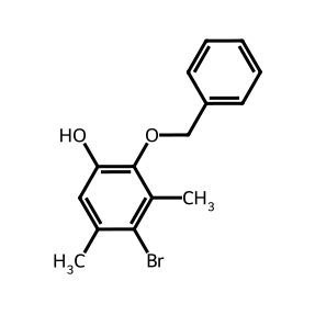 Cc1cc(O)c(OCc2ccccc2)c(C)c1Br